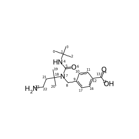 CC(C)(C)NC(=O)N(Cc1ccc(C(=O)O)cc1)C(C)(C)CCN